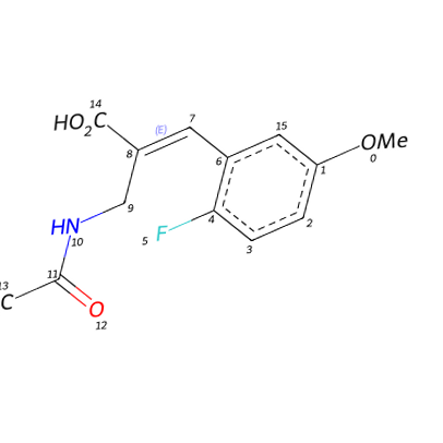 COc1ccc(F)c(/C=C(\CNC(=O)C(F)(F)F)C(=O)O)c1